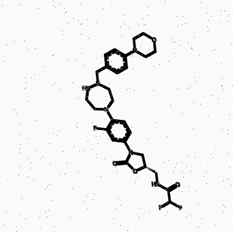 O=C(NC[C@H]1CN(c2ccc(N3CCNN(Cc4ccc(N5CCOCC5)cc4)CC3)c(F)c2)C(=O)O1)C(F)F